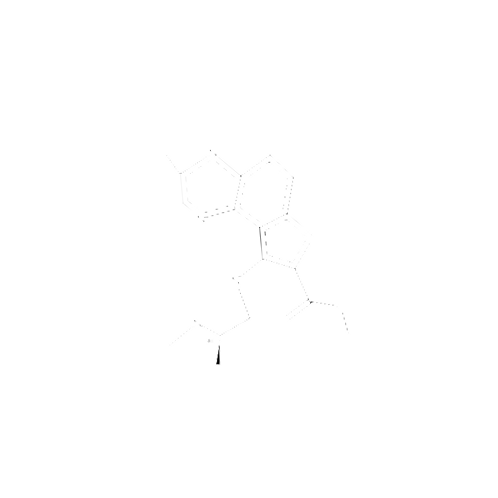 CN[C@H](C)CNc1c(C(=O)OC)sc2ccc3nc(O)cnc3c12